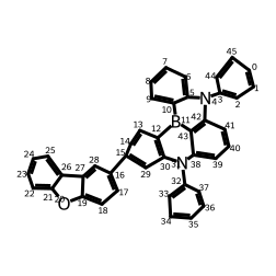 c1ccc(N2c3ccccc3B3c4ccc(-c5ccc6oc7ccccc7c6c5)cc4N(c4ccccc4)c4cccc2c43)cc1